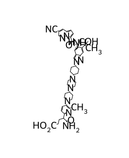 Cc1nc(C(CCC(=O)O)C(N)=O)ccc1N1CCC(N2CCN(C3CCC(n4cc5cc(NC(=O)c6ccc7cc(C#N)cnn67)c(C(C)(C)O)cc5n4)CC3)CC2)CC1